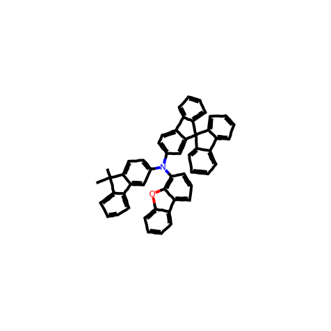 CC1(C)c2ccccc2-c2cc(N(c3ccc4c(c3)C3(c5ccccc5-c5ccccc53)c3ccccc3-4)c3cccc4c3oc3ccccc34)ccc21